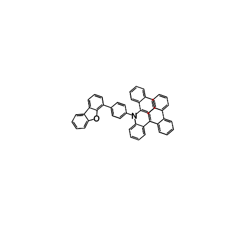 c1ccc(N(c2ccc(-c3cccc4c3oc3ccccc34)cc2)c2cccc3ccccc23)c(-c2cc3ccccc3c3ccccc23)c1